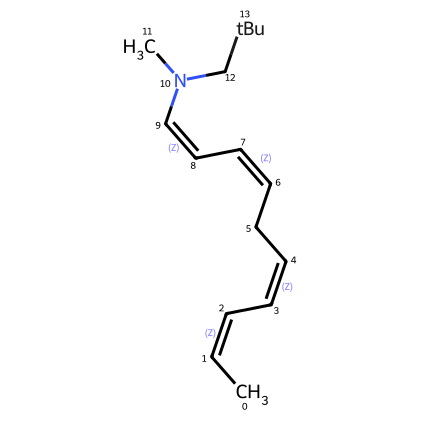 C/C=C\C=C/C/C=C\C=C/N(C)CC(C)(C)C